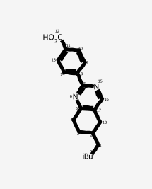 CCC(C)CC1CCc2nc(-c3ccc(C(=O)O)cc3)ncc2C1